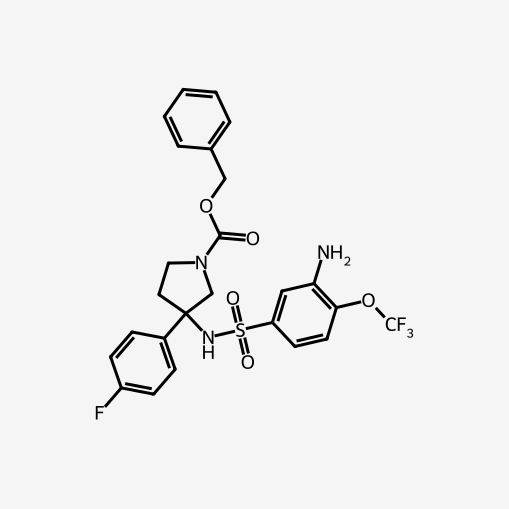 Nc1cc(S(=O)(=O)NC2(c3ccc(F)cc3)CCN(C(=O)OCc3ccccc3)C2)ccc1OC(F)(F)F